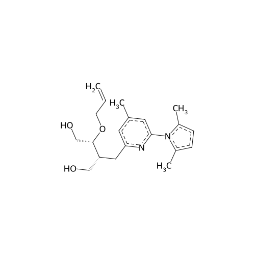 C=CCO[C@@H](CO)[C@@H](CO)Cc1cc(C)cc(-n2c(C)ccc2C)n1